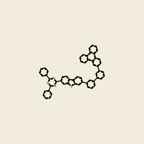 c1ccc(-c2nc(-c3ccccc3)nc(-c3ccc4c(c3)sc3cc(-c5cccc(-c6cccc(-c7ccc8c9ccccc9c9ccccc9c8c7)c6)c5)ccc34)n2)cc1